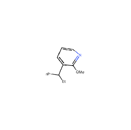 CCCC(CC)c1cccnc1OC